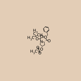 CC(C)(C)OC(=O)N1C[C@@H](OS(C)(=O)=O)C[C@H]1C(=O)OCc1ccccc1